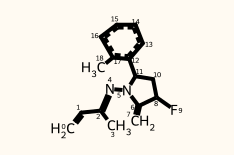 C=C/C(C)=N/N1C(=C)C(F)CC1c1ccccc1C